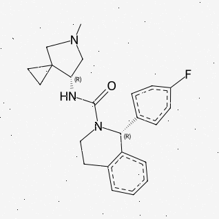 CN1C[C@H](NC(=O)N2CCc3ccccc3[C@H]2c2ccc(F)cc2)C2(CC2)C1